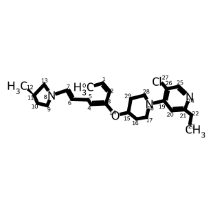 C/C=C\C(=C/C/C=C/N1CC[C@@H](C)C1)OC1CCN(c2cc(CC)ncc2Cl)CC1